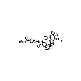 COc1cc(C(=O)NC2CC3(CCN(C(=O)OC(C)(C)C)CC3)C2)ccc1Nc1ncc2c(n1)N(C1CCCC1)CC(F)(F)C(=O)N2C